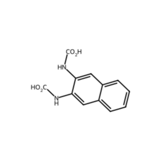 O=C(O)Nc1cc2ccccc2cc1NC(=O)O